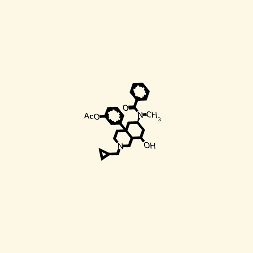 CC(=O)Oc1cccc(C23CCN(CC4CC4)CC2C(O)C[C@H](N(C)C(=O)c2ccccc2)C3)c1